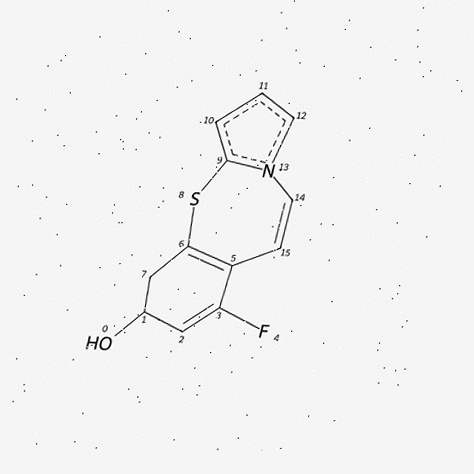 OC1C=C(F)C2=C(C1)Sc1cccn1C=C2